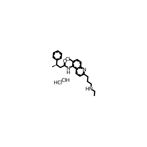 CCNCCCc1ccc2c(NC(=O)C[C@@H](C)c3ccccc3)c(Cl)ccc2n1.Cl.Cl